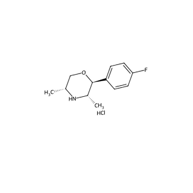 C[C@@H]1CO[C@@H](c2ccc(F)cc2)[C@H](C)N1.Cl